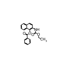 CCOC(=O)Nc1ccc2ccccc2c1OC(=O)c1ccccc1